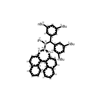 CCCCc1cc(CCCC)cc(C(c2cc(CCCC)cc(CCCC)c2)N(C(C)C)p2oc3ccc4ccccc4c3c3c(ccc4ccccc43)o2)c1